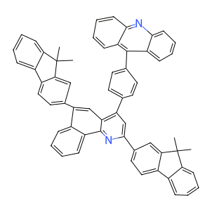 CC1(C)c2ccccc2-c2ccc(-c3cc(-c4ccc(-c5c6ccccc6nc6ccccc56)cc4)c4cc(-c5ccc6c(c5)C(C)(C)c5ccccc5-6)c5ccccc5c4n3)cc21